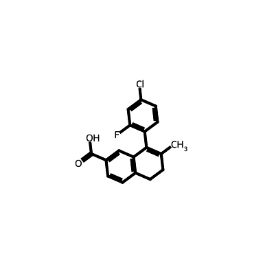 CC1=C(c2ccc(Cl)cc2F)c2cc(C(=O)O)ccc2CC1